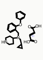 O=C(O)/C=C/C(=O)O.c1ccc(Oc2ccccc2CN(CC2CC2)C2CCNCC2)cc1